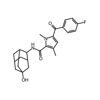 Cc1cc(C(=O)c2ccc(F)cc2)n(C)c1C(=O)NC1C2CC3CC1CC(O)(C3)C2